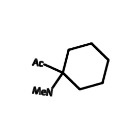 CNC1(C(C)=O)CCCCC1